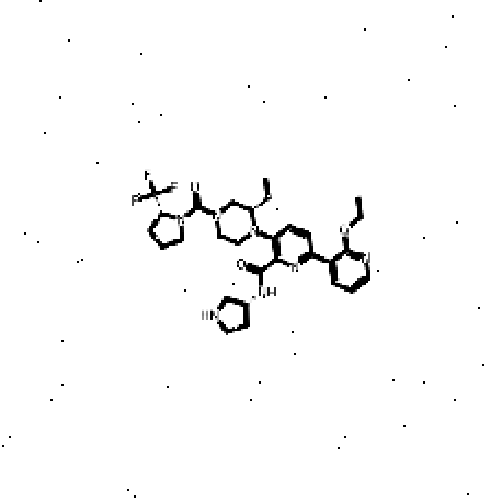 CCOc1ncccc1-c1ccc(N2CCN(C(=O)N3CCC[C@@H]3C(F)(F)F)C[C@H]2CC)c(C(=O)N[C@@H]2CCNC2)n1